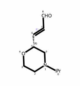 CC(C)N1CCO[C@H](/C=C/C=O)C1